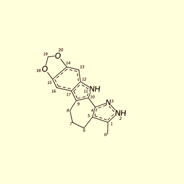 Cc1[nH]nc2c1CCCc1c-2[nH]c2cc3c(cc12)OCO3